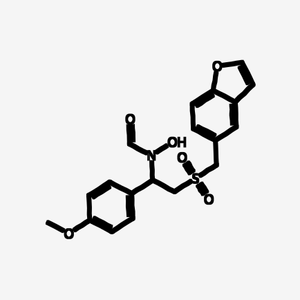 COc1ccc(C(CS(=O)(=O)Cc2ccc3occc3c2)N(O)C=O)cc1